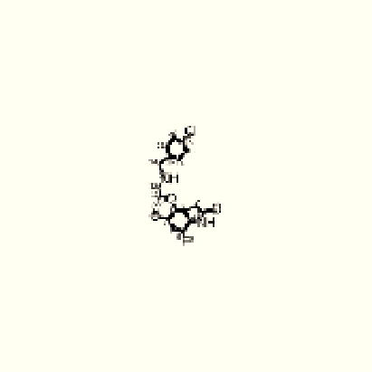 O=C1Cc2c(c(F)cc3c2OC(CNCc2ccc(Cl)cc2)CO3)N1